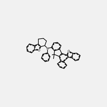 CC1(C)c2c(cccc2N(c2ccccc2)C2CCCc3c2oc2ccccc32)-c2c1c1ccccc1c1c2oc2ccccc21